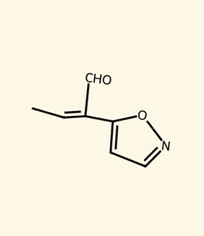 CC=C(C=O)c1ccno1